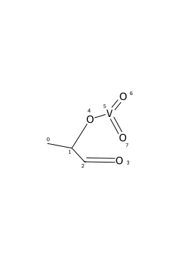 CC(C=O)[O][V](=[O])=[O]